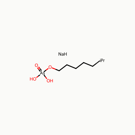 CC(C)CCCCCO[As](=O)(O)O.[NaH]